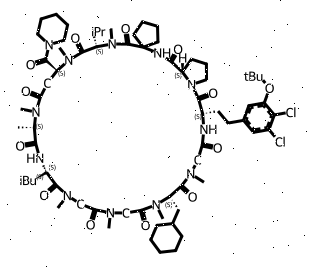 CC[C@H](C)[C@@H]1NC(=O)[C@H](C)N(C)C(=O)C[C@@H](C(=O)N2CCCCC2)N(C)C(=O)[C@H](C(C)C)N(C)C(=O)C2(CCCC2)NC(=O)[C@@H]2CCCN2C(=O)[C@H](CCc2cc(Cl)c(Cl)c(OC(C)(C)C)c2)NC(=O)CN(C)C(=O)[C@H](CC2CCCCC2)N(C)C(=O)CN(C)C(=O)CN(C)C1=O